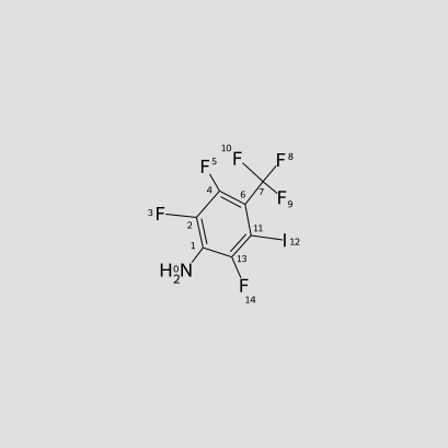 Nc1c(F)c(F)c(C(F)(F)F)c(I)c1F